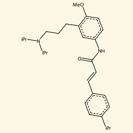 COc1ccc(NC(=O)C=Cc2ccc(C(C)C)cc2)cc1CCCN(C(C)C)C(C)C